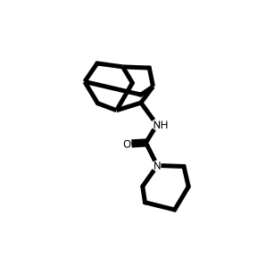 O=C(NC1C2CC3CC(C2)CC1C3)N1CCCCC1